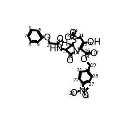 O=C(COc1ccccc1)NC1C(=O)N2C(C(=O)OCc3ccc([N+](=O)[O-])cc3)=C(O)CS(=O)(=O)[C@@H]12